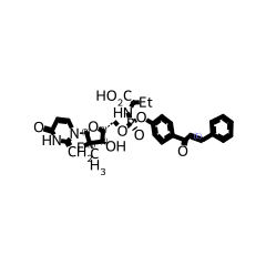 C=C1NC(=O)C=CN1[C@@H]1O[C@H](COP(=O)(NC(CC)C(=O)O)Oc2ccc(C(=O)/C=C/c3ccccc3)cc2)[C@@H](O)[C@@]1(C)F